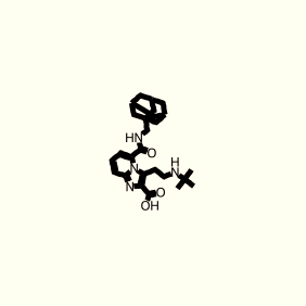 CC(C)(C)NCCc1c(C(=O)O)nc2cccc(C(=O)NCC34CC5CC(CC(C5)C3)C4)n12